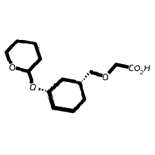 O=C(O)COC[C@@H]1CCC[C@H](OC2CCCCO2)C1